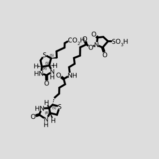 O=C(CCCC[C@@H]1SC[C@@H]2NC(=O)N[C@@H]21)NCCCCCC(=O)ON1C(=O)CC(S(=O)(=O)O)C1=O.O=C(O)CCCC[C@@H]1SC[C@@H]2NC(=O)N[C@@H]21